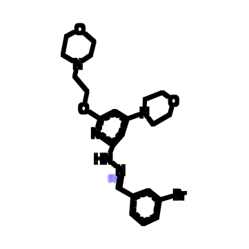 Brc1cccc(/C=N/Nc2cc(N3CCOCC3)cc(OCCN3CCOCC3)n2)c1